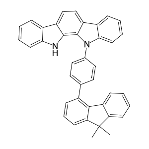 CC1(C)c2ccccc2-c2c(-c3ccc(-n4c5ccccc5c5ccc6c7ccccc7[nH]c6c54)cc3)cccc21